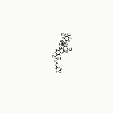 O=C(NCCCN1CCOCC1)c1ccc(Oc2ncc(Cl)cc2NS(=O)(=O)c2ccc(Cl)c(Cl)c2)cc1